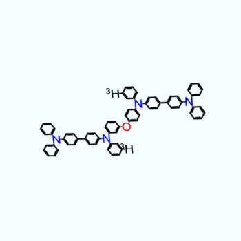 [3H]c1cccc(N(c2ccc(Oc3cccc(N(c4ccc(-c5ccc(N(c6ccccc6)c6ccccc6)cc5)cc4)c4cccc([3H])c4)c3)cc2)c2ccc(-c3ccc(N(c4ccccc4)c4ccccc4)cc3)cc2)c1